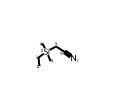 CC[Si](C)(C)CC#N